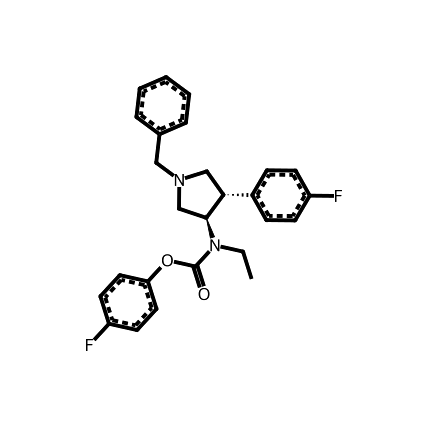 CCN(C(=O)Oc1ccc(F)cc1)[C@H]1CN(Cc2ccccc2)C[C@@H]1c1ccc(F)cc1